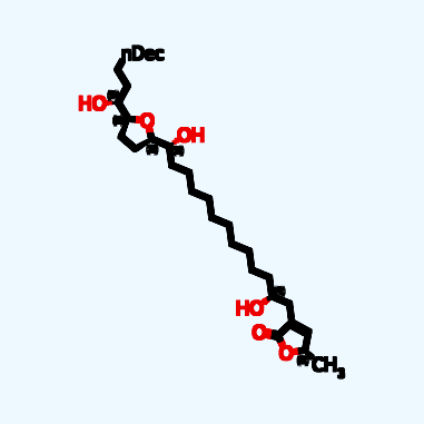 CCCCCCCCCCCC[C@@H](O)[C@@H]1CC[C@H]([C@H](O)CCCCCCCCCC[C@H](O)CC2=C[C@@H](C)OC2=O)O1